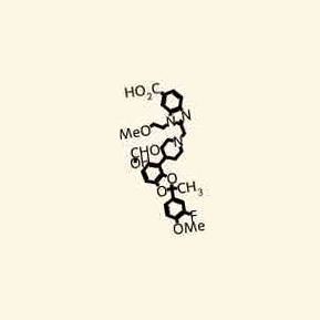 COCCn1c(CN2CCC(c3cccc4c3OC(C)(c3ccc(OC)c(F)c3)O4)CC2)nc2ccc(C(=O)O)cc21.O=CO